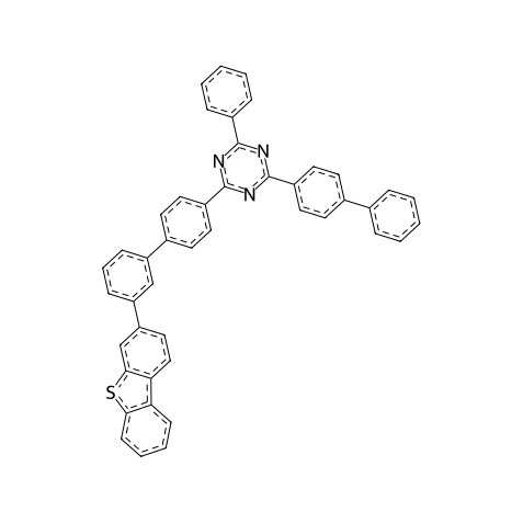 c1ccc(-c2ccc(-c3nc(-c4ccccc4)nc(-c4ccc(-c5cccc(-c6ccc7c(c6)sc6ccccc67)c5)cc4)n3)cc2)cc1